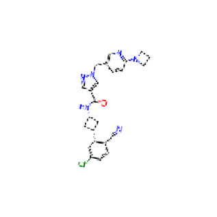 N#Cc1ccc(Cl)cc1[C@H]1C[C@@H](NC(=O)c2cnn(Cc3ccc(N4CCC4)nc3)c2)C1